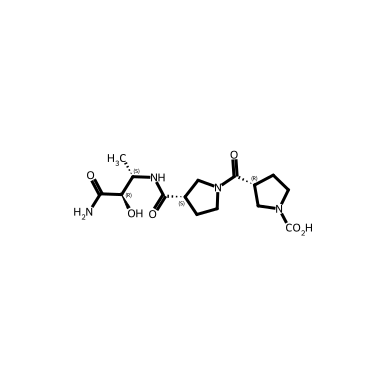 C[C@H](NC(=O)[C@H]1CCN(C(=O)[C@@H]2CCN(C(=O)O)C2)C1)[C@@H](O)C(N)=O